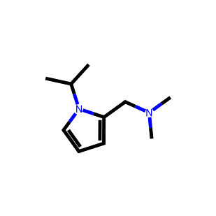 CC(C)n1cccc1CN(C)C